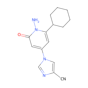 N#Cc1cn(-c2cc(C3CCCCC3)n(N)c(=O)c2)cn1